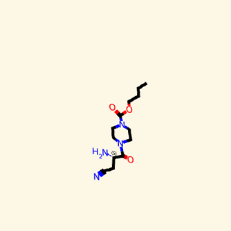 CCCCOC(=O)N1CCN(C(=O)[C@@H](N)CC#N)CC1